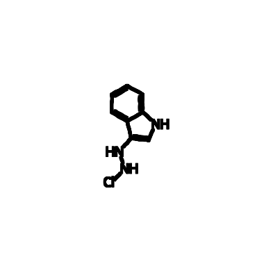 ClNNc1c[nH]c2ccccc12